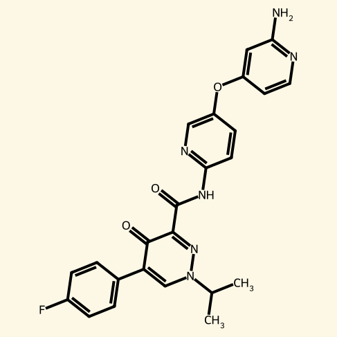 CC(C)n1cc(-c2ccc(F)cc2)c(=O)c(C(=O)Nc2ccc(Oc3ccnc(N)c3)cn2)n1